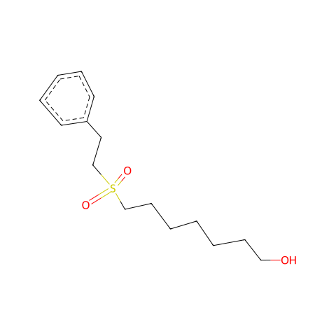 O=S(=O)(CCCCCCCO)CCc1ccccc1